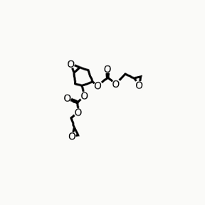 O=C(OCC1CO1)OC1CC2OC2CC1OC(=O)OCC1CO1